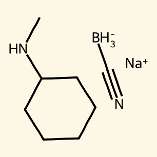 CNC1CCCCC1.[BH3-]C#N.[Na+]